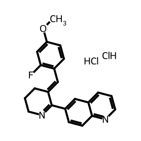 COc1ccc(C=C2CCCN=C2c2ccc3ncccc3c2)c(F)c1.Cl.Cl